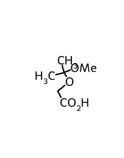 COC(C)(C)OCC(=O)O